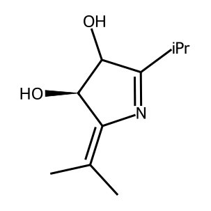 CC(C)=C1N=C(C(C)C)C(O)[C@@H]1O